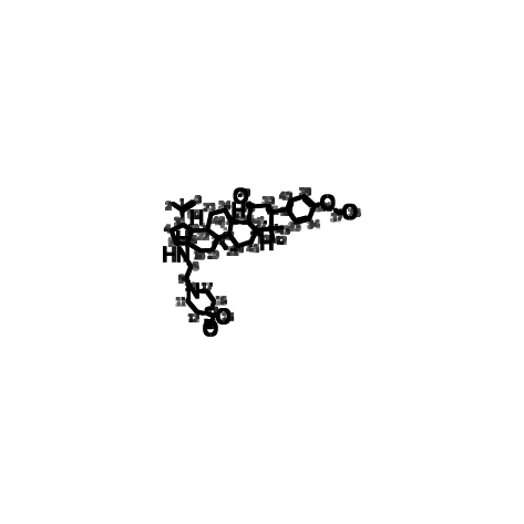 C=C(C)[C@@H]1CC[C@]2(NCCN3CCS(=O)(=O)CC3)CC[C@]3(C)[C@H](CC[C@@H]4[C@@]5(C)C(=O)C=C(c6ccc(OC=O)cc6)C(C)(C)[C@@H]5CC[C@]43C)[C@@H]12